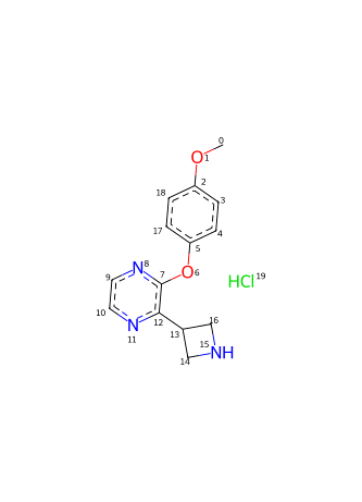 COc1ccc(Oc2nccnc2C2CNC2)cc1.Cl